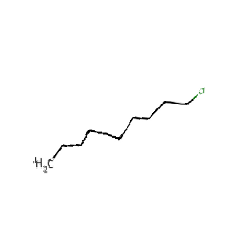 [CH2]CCCCCCCCCl